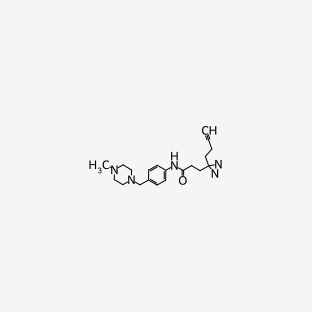 C#CCCC1(CCC(=O)Nc2ccc(CN3CCN(C)CC3)cc2)N=N1